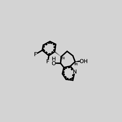 OC1c2cccnc2[C@H](O)CC[C@H]1c1cccc(F)c1F